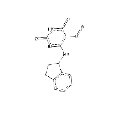 O=Nc1c(NC2CCc3ccccc32)[nH]c(=O)[nH]c1=O